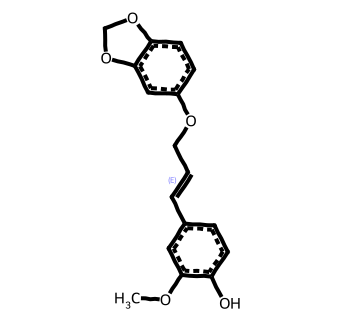 COc1cc(/C=C/COc2ccc3c(c2)OCO3)ccc1O